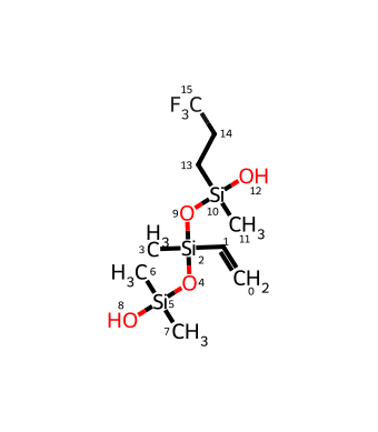 C=C[Si](C)(O[Si](C)(C)O)O[Si](C)(O)CCC(F)(F)F